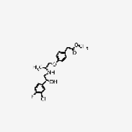 COC(=O)Cc1ccc(OCC(C)NCC(O)c2ccc(F)c(Cl)c2)cc1